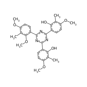 COc1ccc(-c2nc(-c3ccc(OC)c(C)c3O)nc(-c3ccc(OC)c(C)c3OC)n2)c(O)c1C